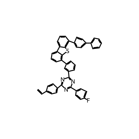 C=Cc1ccc(-c2nc(-c3ccc(F)cc3)nc(-c3cccc(-c4cccc5c4sc4c(-c6ccc(-c7ccccc7)cc6)cccc45)c3)n2)cc1